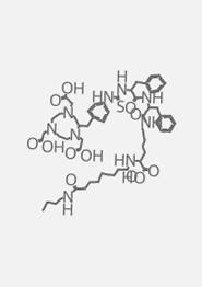 CCCCNC(=O)CCCCCCC(=O)NC(CCCCNC(=O)C(Cc1ccccc1)NC(=O)C(Cc1ccccc1)NC(=S)Nc1ccc(CC2CN(CC(=O)O)CCN(CC(=O)O)CCN2CC(=O)O)cc1)C(=O)O